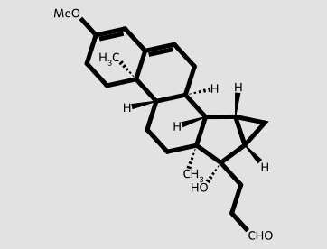 COC1=CC2=CC[C@H]3[C@@H]4[C@@H]5C[C@@H]5[C@@](O)(CCC=O)[C@@]4(C)CC[C@@H]3[C@@]2(C)CC1